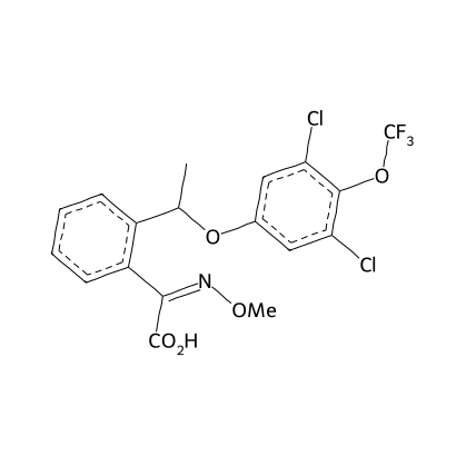 CON=C(C(=O)O)c1ccccc1C(C)Oc1cc(Cl)c(OC(F)(F)F)c(Cl)c1